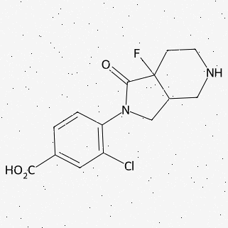 O=C(O)c1ccc(N2CC3CNCCC3(F)C2=O)c(Cl)c1